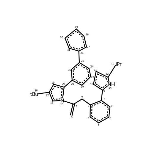 C=C(Cc1ccccc1-c1ccc(C(C)C)[nH]1)n1cc(C(C)(C)C)cc1-c1cccc(-c2ccccc2)c1